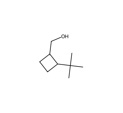 CC(C)(C)C1CC[C]1CO